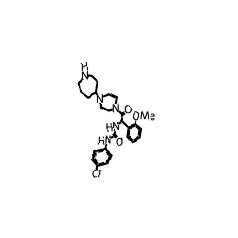 COc1ccccc1C(NC(=O)Nc1ccc(Cl)cc1)C(=O)N1CCN(C2CCCNCC2)CC1